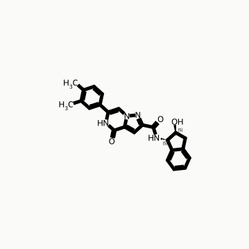 Cc1ccc(-c2cn3nc(C(=O)N[C@H]4c5ccccc5C[C@@H]4O)cc3c(=O)[nH]2)cc1C